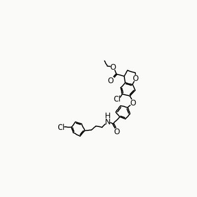 CCOC(=O)C1CCOc2cc(Oc3ccc(C(=O)NCCCc4ccc(Cl)cc4)cc3)c(Cl)cc21